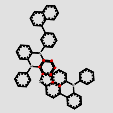 c1ccc(N(c2ccccc2)c2ccccc2-c2ccc3sc4cc(N(c5cccc(-c6cccc7ccccc67)c5)c5ccccc5N(c5ccccc5)c5ccccc5)ccc4c3c2)cc1